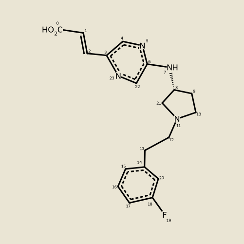 O=C(O)/C=C/c1cnc(N[C@@H]2CCN(CCc3cccc(F)c3)C2)cn1